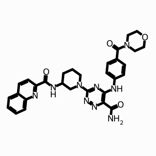 NC(=O)c1nnc(N2CCCC(NC(=O)c3ccc4ccccc4n3)C2)nc1Nc1ccc(C(=O)N2CCOCC2)cc1